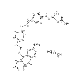 CSc1ccc2c(c1)N(CCCN1CCN(CCOc3ccc(OCC(O)CNC(C)C)cc3)CC1)c1ccccc1S2.Cl.Cl.Cl